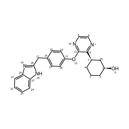 O[C@H]1CCC[C@@H](c2nccnc2Oc2ccc(Cc3nc4ccccc4[nH]3)cc2)C1